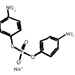 O=[N+]([O-])c1ccc(OP(=O)([O-])Oc2ccc([N+](=O)[O-])cc2)cc1.[Na+]